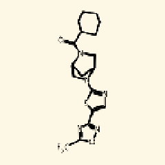 O=C(C1CCCCC1)N1CC2CC1CN2c1ncc(-c2noc(C(F)(F)F)n2)s1